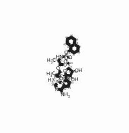 COC(C)(C)COC(=O)[C@H](C)NP(=O)(OC[C@H]1O[C@@](C)(c2ccc3c(N)ncnn23)[C@H](O)[C@@H]1O)Oc1cccc2ccccc12